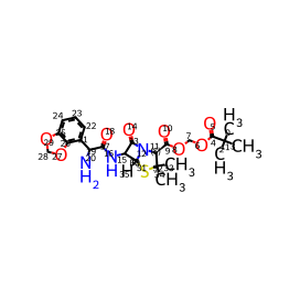 CC(C)(C)C(=O)OCOC(=O)[C@@H]1N2C(=O)C(NC(=O)C(N)c3cccc4c3OCO4)[C@H]2SC1(C)C